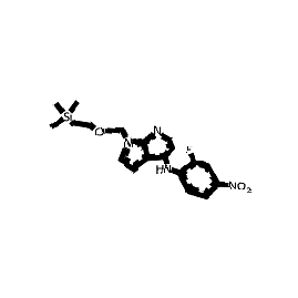 C[Si](C)(C)CCOCn1ccc2c(Nc3ccc([N+](=O)[O-])cc3F)ccnc21